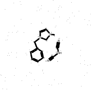 CN1C=CN(Cc2ccccc2)C1.N#CNC#N